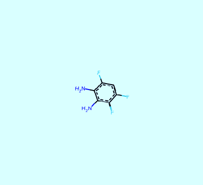 Nc1c(F)cc(F)c(F)c1N